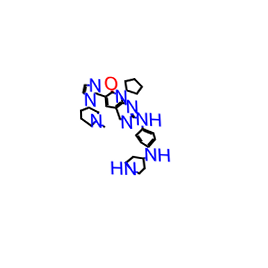 CN1CCCC(n2ccnc2-c2cc3cnc(Nc4ccc(NC5CCNCC5)cc4)nc3n(C3CCCC3)c2=O)C1